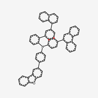 c1cc(-c2ccccc2N(c2ccc(-c3ccc4oc5ccccc5c4c3)cc2)c2ccc(-c3cc4ccccc4c4ccccc34)cc2)cc(-c2cccc3ccccc23)c1